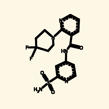 NS(=O)(=O)c1cc(NC(=O)c2cccnc2N2CCC(F)(F)CC2)ccn1